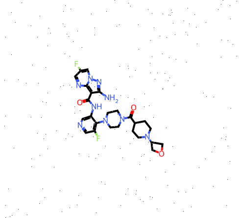 Nc1nn2cc(F)cnc2c1C(=O)Nc1cncc(F)c1N1CCN(C(=O)C2CCN(C3COC3)CC2)CC1